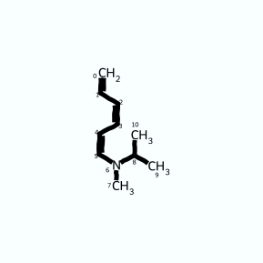 C=C/C=C\C=C/N(C)C(C)C